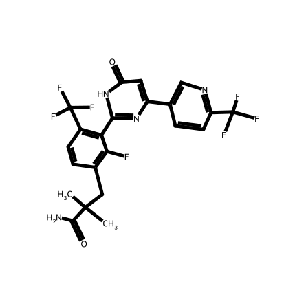 CC(C)(Cc1ccc(C(F)(F)F)c(-c2nc(-c3ccc(C(F)(F)F)nc3)cc(=O)[nH]2)c1F)C(N)=O